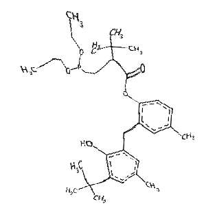 CCOP(CC(C(=O)Oc1ccc(C)cc1Cc1cc(C)cc(C(C)(C)C)c1O)C(C)(C)C)OCC